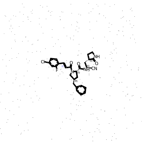 N#C[C@H](C[C@@H]1CCNC1=O)NC(=O)[C@@H]1C[C@@H](Cc2ccccc2)CN1C(=O)/C=C/c1ccc(Cl)cc1F